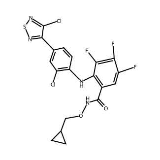 O=C(NOCC1CC1)c1cc(F)c(F)c(F)c1Nc1ccc(-c2nsnc2Cl)cc1Cl